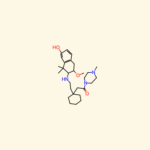 COC1Cc2ccc(O)cc2C(C)(C)C1NCCC1(CC(=O)N2CCN(C)CC2)CCCCC1